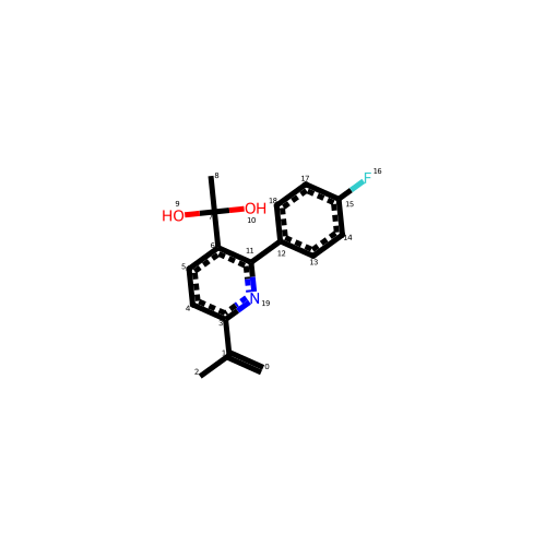 C=C(C)c1ccc(C(C)(O)O)c(-c2ccc(F)cc2)n1